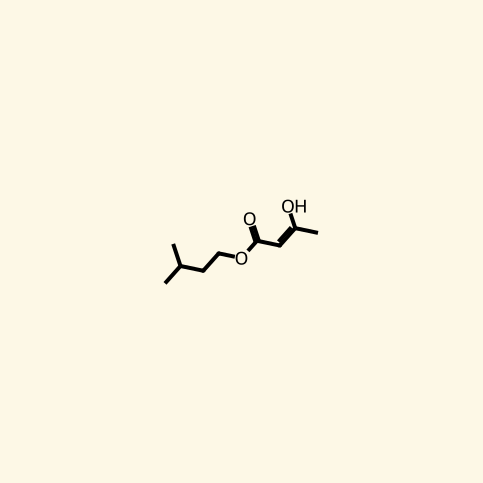 C/C(O)=C/C(=O)OCCC(C)C